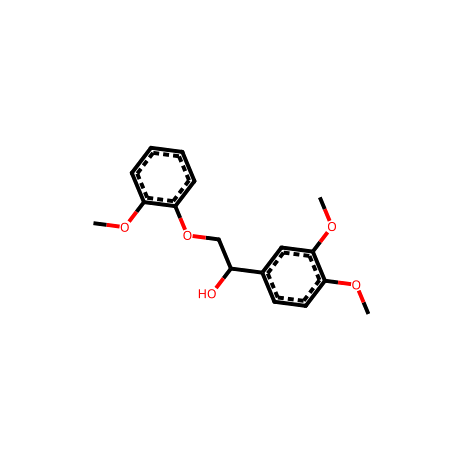 COc1ccc(C(O)COc2ccccc2OC)cc1OC